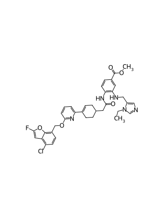 CCn1cncc1CNc1cc(C(=O)OC)ccc1NC(=O)CC1CC=C(c2cccc(OCc3ccc(Cl)c4cc(F)oc34)n2)CC1